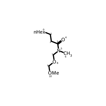 CCCCCCCCC(=O)N(C)COCOC